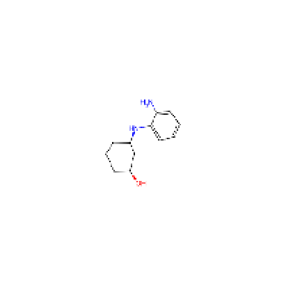 Nc1ccccc1N[C@@H]1CCC[C@H](O)C1